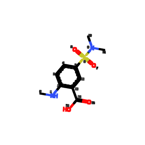 CNc1ccc(S(=O)(=O)N(C)C)cc1C(=O)O